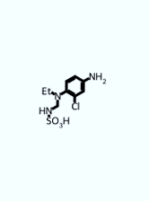 CCN(CNS(=O)(=O)O)c1ccc(N)cc1Cl